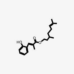 CC(C)=CCCC(C)CCOC(=O)/C(C)=C/c1ccccc1O